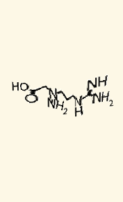 N=C(N)NCCCN(N)CC(=O)O